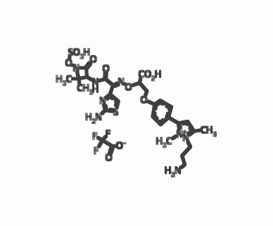 Cc1cc(-c2ccc(OCC(ON=C(C(=O)NC3C(=O)N(OS(=O)(=O)O)C3(C)C)c3csc(N)n3)C(=O)O)cc2)[n+](C)n1CCCN.O=C([O-])C(F)(F)F